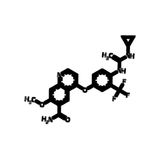 C=C(Nc1ccc(Oc2ccnc3cc(OC)c(C(N)=O)cc23)cc1C(F)(F)F)NC1CC1